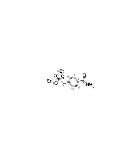 CCOP(=O)(Cc1ccc(C(N)=O)cc1)OCC